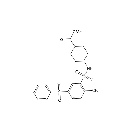 COC(=O)C1CCC(NS(=O)(=O)c2cc(S(=O)(=O)c3ccccc3)ccc2C(F)(F)F)CC1